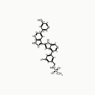 CS(=O)(=O)NCc1cc(F)cc(-c2cncc3[nH]c(-c4n[nH]c5ncc(-c6cncc(O)c6)cc45)cc23)c1